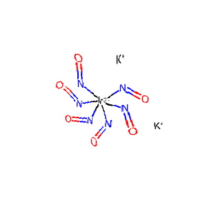 O=[N][Ir-2]([N]=O)([N]=O)([N]=O)([N]=O)[N]=O.[K+].[K+]